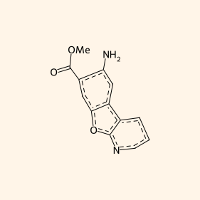 COC(=O)c1cc2oc3ncccc3c2cc1N